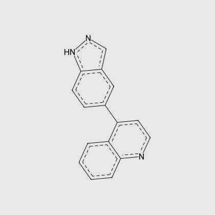 c1ccc2c(-c3ccc4[nH]ncc4c3)ccnc2c1